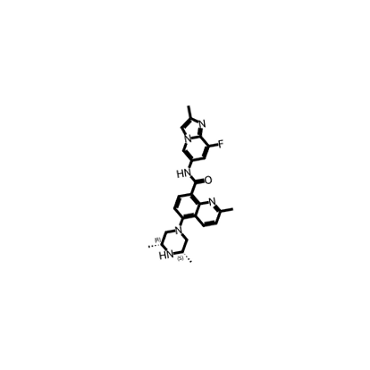 Cc1ccc2c(N3C[C@@H](C)N[C@@H](C)C3)ccc(C(=O)Nc3cc(F)c4nc(C)cn4c3)c2n1